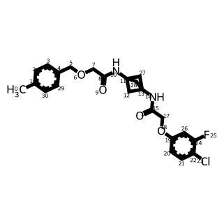 Cc1ccc(COCC(=O)NC23CC(NC(=O)COc4ccc(Cl)c(F)c4)(C2)C3)cc1